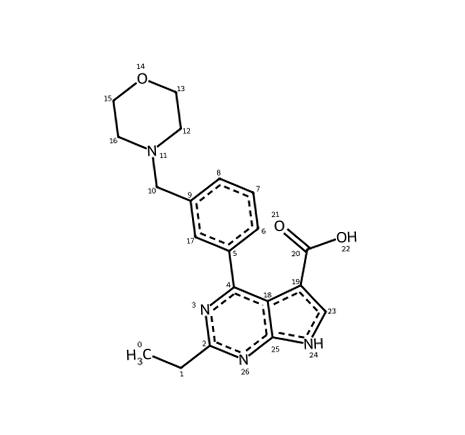 CCc1nc(-c2cccc(CN3CCOCC3)c2)c2c(C(=O)O)c[nH]c2n1